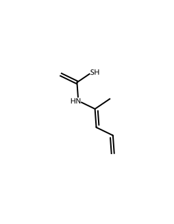 C=C/C=C(\C)NC(=C)S